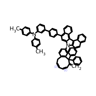 C=C1/C=C\C=C/Cc2ccc(-n3c4ccc5ccccc5c4c4c5ccccc5c(-c5ccc(-c6cccc(N(c7ccc(C)cc7)c7ccc(C)cc7)c6)cc5)cc43)cc2C1(c1ccccc1)c1ccccc1